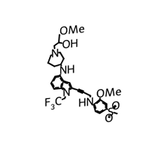 COCC(O)CN1CCCC(Nc2cccc3c2cc(C#CCNc2ccc(S(C)(=O)=O)cc2OC)n3CC(F)(F)F)CC1